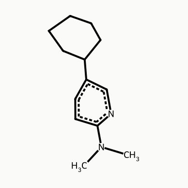 CN(C)c1ccc(C2CCCCC2)cn1